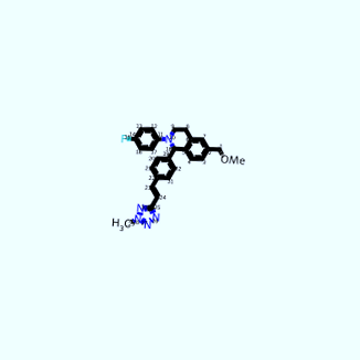 COCc1ccc2c(c1)CCN(c1ccc(F)cc1)C2c1ccc(/C=C/c2nnn(C)n2)cc1